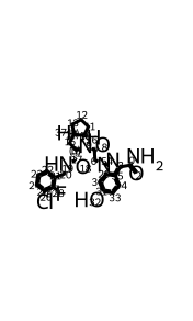 NC(=O)c1nn(CC(=O)N2[C@@H]3CCC[C@@H]3C[C@H]2C(=O)NCc2cccc(Cl)c2F)c2cc(O)ccc12